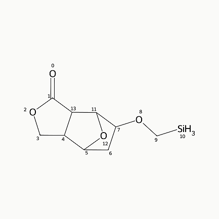 O=C1OCC2C3CC(OC[SiH3])C(O3)C12